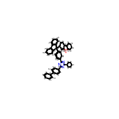 c1ccc(-c2ccc(-c3nc(-c4ccccc4)nc(-c4ccc(C5(c6ccc7c(c6)oc6ccccc67)c6ccccc6-c6ccccc65)cc4)n3)cc2)cc1